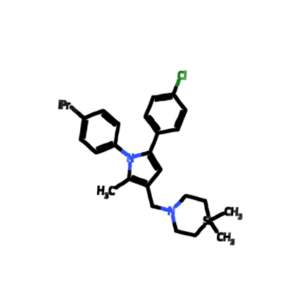 Cc1c(CN2CC[Si](C)(C)CC2)cc(-c2ccc(Cl)cc2)n1-c1ccc(C(C)C)cc1